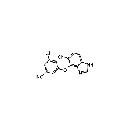 N#Cc1cc(Cl)cc(Oc2c(Cl)ccc3[nH]cnc23)c1